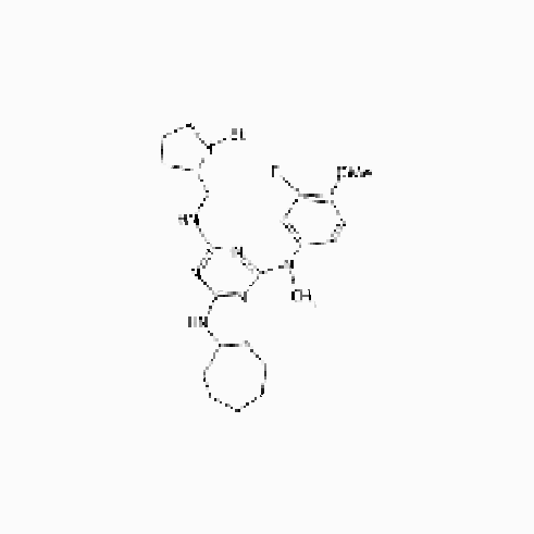 CCN1CCCC1CNc1nc(NC2CCCCCC2)nc(N(C)c2ccc(OC)c(F)c2)n1